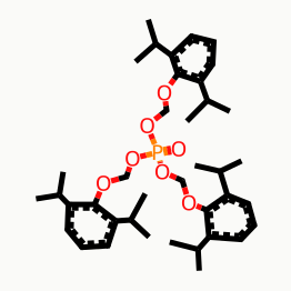 CC(C)c1cccc(C(C)C)c1OCOP(=O)(OCOc1c(C(C)C)cccc1C(C)C)OCOc1c(C(C)C)cccc1C(C)C